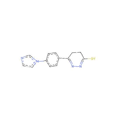 SC1=NN=C(c2ccc(-n3ccnc3)cc2)CC1